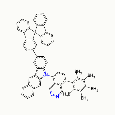 Bc1c(B)c(B)c(-c2ccc(-n3c4ccc(-c5ccc6c(c5)C5(c7ccccc7-c7ccccc75)c5ccccc5-6)cc4c4cc5ccccc5cc43)c3cnncc23)c(B)c1B